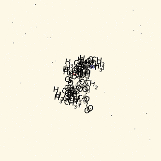 C=C1C[C@H](CCC2OCCO2)O[C@H]1CC[C@H]1CCC(=C)[C@@H](C[C@@H]2O[C@H](C[C@@H](CO[Si](C)(C)C(C)(C)C)O[Si](C)(C)C(C)(C)C)C[C@H]2CC(=O)C(c2cccc([SH](=O)=O)c2)[C@H]2CC[C@@H]3OC(C(/C=C/I)O[Si](C)(C)C(C)(C)C)C(O[Si](C)(C)C(C)(C)C)C(O[Si](C)(C)C(C)(C)C)[C@@H]3O2)O1